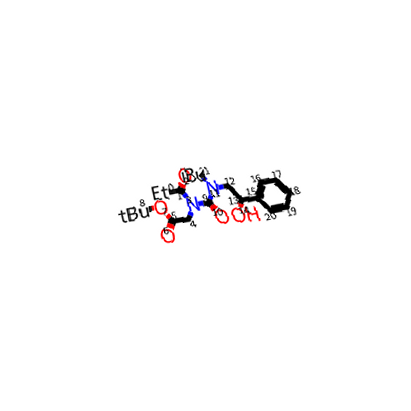 CCC(=O)N(CC(=O)OC(C)(C)C)C(=O)N(CC(O)c1ccccc1)C(C)CC